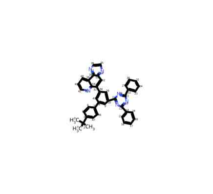 CC(C)(C)c1ccc(-c2cc(-c3nc(-c4ccccc4)nc(-c4ccccc4)n3)cc(-c3cc4nccnc4c4cccnc34)c2)cc1